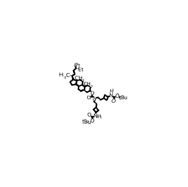 CC[C@H](CC[C@@H](C)C1CCC2C3CC=C4CC(OC(=O)N(CCC5CC(NC(=O)OC(C)(C)C)C5)CCC5CC(NC(=O)OC(C)(C)C)C5)CCC4(C)C3CCC21C)C(C)C